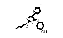 CCCCNc1ncc(-c2ccc(F)cn2)c(N[C@H]2CC[C@H](O)CC2)n1